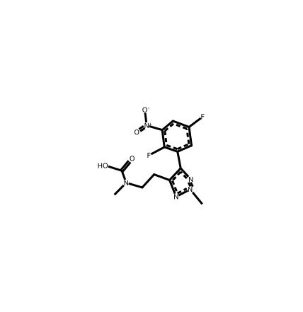 CN(CCc1nn(C)nc1-c1cc(F)cc([N+](=O)[O-])c1F)C(=O)O